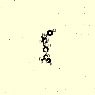 O=C(CC(C(F)F)n1ccc(F)n1)N1CCC(O)(Cn2cnc3c(cnn3-c3ccc(Cl)cc3)c2=O)CC1